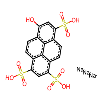 O=S(=O)(O)c1cc(O)c2ccc3c(S(=O)(=O)O)cc(S(=O)(=O)O)c4ccc1c2c34.[Na].[Na].[Na]